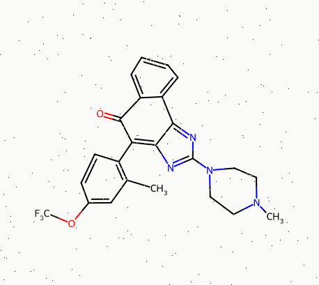 Cc1cc(OC(F)(F)F)ccc1C1=C2N=C(N3CCN(C)CC3)N=C2c2ccccc2C1=O